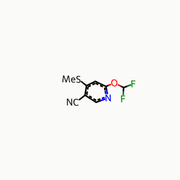 CSc1cc(OC(F)F)ncc1C#N